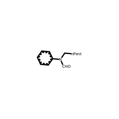 CCCCCCN([C]=O)c1ccccc1